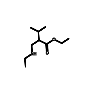 CCNCC(C(=O)OCC)C(C)C